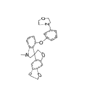 CN1CC2(COc3cc4c(cc32)OCCO4)c2c(Oc3cccc(N4CCOCC4)c3)cccc21